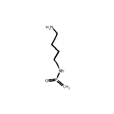 C=P(=O)NCCCCN